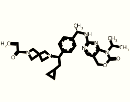 C=CC(=O)N1CC2(C1)CN(C(CC1CC1)c1ccc([C@H](C)Nc3ncc4c(n3)N(C(C)C)C(=O)OC4)cc1)C2